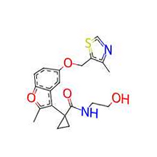 Cc1ncsc1COc1ccc2oc(C)c(C3(C(=O)NCCO)CC3)c2c1